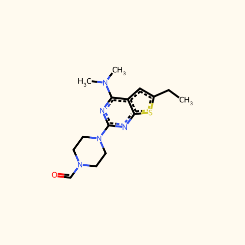 CCc1cc2c(N(C)C)nc(N3CCN(C=O)CC3)nc2s1